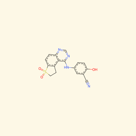 N#Cc1cc(Nc2ncnc3ccc4c(c23)CCS4(=O)=O)ccc1O